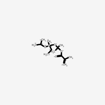 C=C(C)C(=O)OC(C)(C)O[Si](C)(CC)OC(C)C